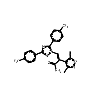 Cc1noc(C)c1C(=Cn1nc(-c2ccc(C(F)(F)F)cc2)nc1-c1ccc(C(F)(F)F)cc1)C(N)=O